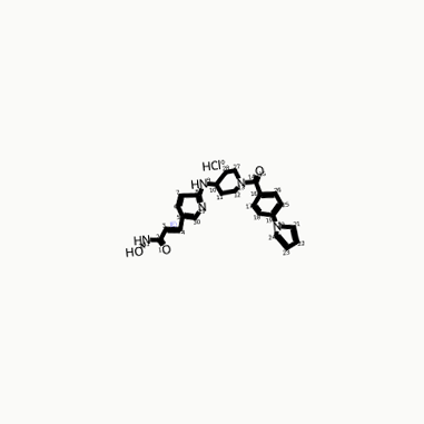 Cl.O=C(/C=C/c1ccc(NC2CCN(C(=O)c3ccc(-n4cccc4)cc3)CC2)nc1)NO